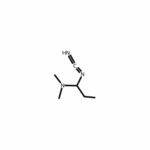 CCC(N=C=N)N(C)C